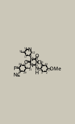 COc1ccc(Nc2nc(=O)n(-c3cncc(C)c3)c(=O)n2Cc2ccc(F)c(C#N)c2)c(Cl)c1